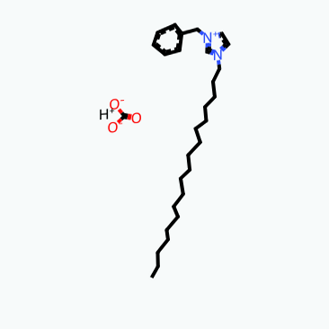 CCCCCCCCCCCCCCCCCCn1cc[n+](Cc2ccccc2)c1.O=C([O-])[O-].[H+]